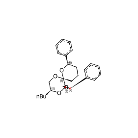 CCCC[C@H]1CO[C@@]2(CCC[C@H](c3ccccc3)O2)[C@]2(CCC[C@H](c3ccccc3)O2)O1